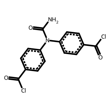 NC(=O)N(c1ccc(C(=O)Cl)cc1)c1ccc(C(=O)Cl)cc1